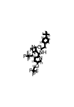 CC(C)(C)c1ccc(CC(=O)N[C@H](c2ccc(OCC(F)(F)F)cn2)c2cnnn2CC(F)(F)F)cc1